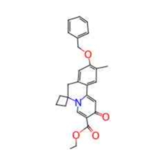 CCOC(=O)c1cn2c(cc1=O)-c1cc(C)c(OCc3ccccc3)cc1CC21CCC1